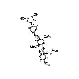 COc1cc(/N=N/c2ccc([N+](=O)[O-])cc2OCCO)c(OC)cc1/N=N/c1ccc(N(CCO)CCO)cc1